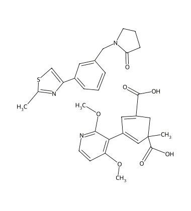 COc1ccnc(OC)c1C1=CC(C)(C(=O)O)CC(C(=O)O)=C1.Cc1nc(-c2cccc(CN3CCCC3=O)c2)cs1